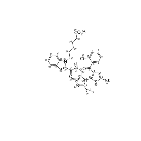 CCc1cc(C(=O)c2ccccc2Cl)c(-n2c(C)nnc2CNC(=O)c2cc3ccccc3n2CCCCCC(=O)O)s1